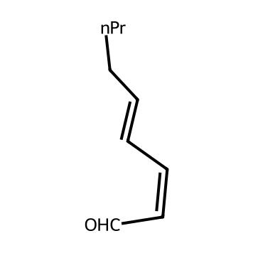 CCCCC=C/C=C\C=O